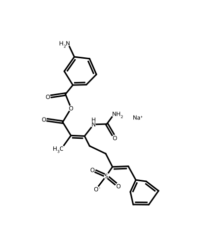 CC(C(=O)OC(=O)c1cccc(N)c1)=C(CCC(=Cc1ccccc1)S(=O)(=O)[O-])NC(N)=O.[Na+]